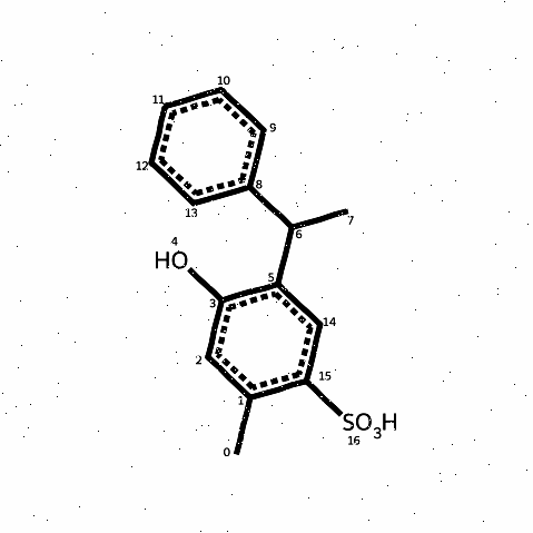 Cc1cc(O)c(C(C)c2ccccc2)cc1S(=O)(=O)O